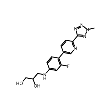 Cn1nnc(-c2ccc(-c3ccc(NCC(O)CO)cc3F)cn2)n1